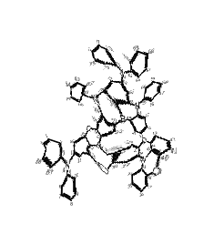 c1ccc(N(c2ccccc2)c2cc3c4c(c2)Oc2cc5c(cc2B4c2cc4c(cc2O3)N2c3ccccc3Oc3cccc(c32)O4)B2c3ccccc3N(c3ccccc3)c3cc(N(c4ccccc4)c4ccccc4)cc(c32)N5c2ccccc2)cc1